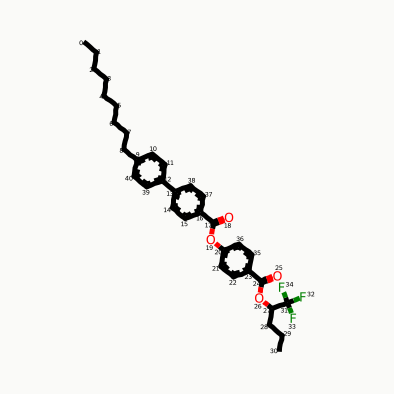 CCCCCCCCCc1ccc(-c2ccc(C(=O)Oc3ccc(C(=O)OC(CCC)C(F)(F)F)cc3)cc2)cc1